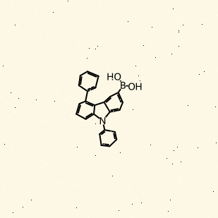 OB(O)c1ccc2c(c1)c1c(-c3ccccc3)cccc1n2-c1ccccc1